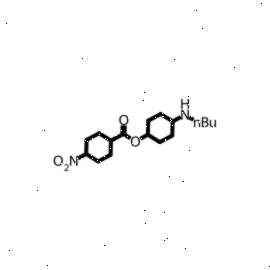 CCCCNC1CCC(OC(=O)C2CCC([N+](=O)[O-])CC2)CC1